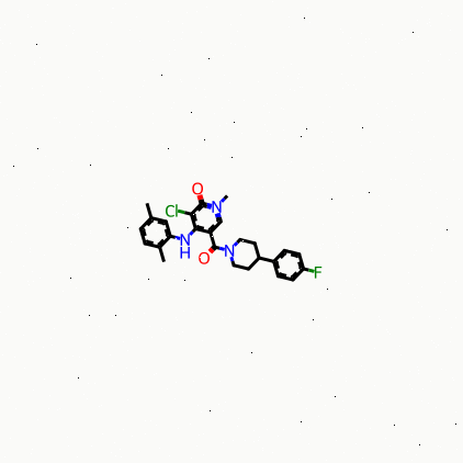 Cc1ccc(C)c(Nc2c(C(=O)N3CCC(c4ccc(F)cc4)CC3)cn(C)c(=O)c2Cl)c1